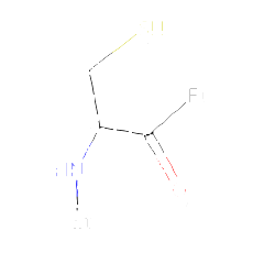 CCNC(CS)C(=O)CC